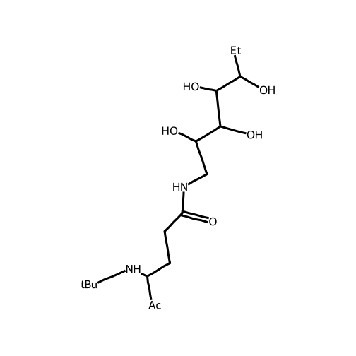 CCC(O)C(O)C(O)C(O)CNC(=O)CCC(NC(C)(C)C)C(C)=O